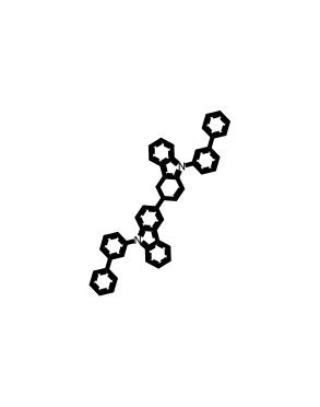 C1=CC(c2ccc3c(c2)c2ccccc2n3-c2cccc(-c3ccccc3)c2)Cc2c1n(-c1cccc(-c3ccccc3)c1)c1ccccc21